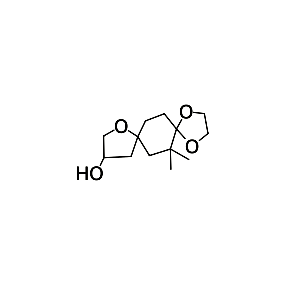 CC1(C)CC2(CCC13OCCO3)CC(O)CO2